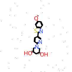 COc1ccc2nc(-c3ccc(N4C[C@H](O)C[C@@H](O)C4)nc3)sc2c1